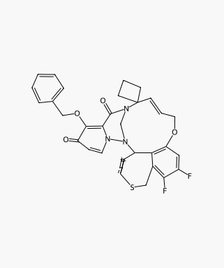 O=C1c2c(OCc3ccccc3)c(=O)ccn2N2CN1C1(/C=C/COc3cc(F)c(F)c4c3C2c2ccccc2SC4)CCC1